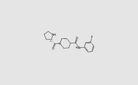 O=C(Nc1cccc(F)c1)C1CCN(C(=O)[C@@H]2CCCN2)CC1